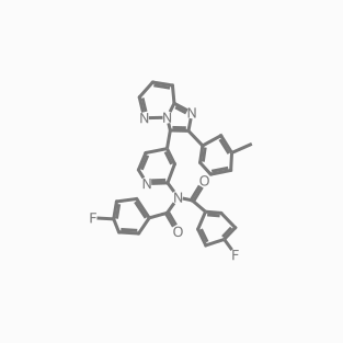 Cc1cccc(-c2nc3cccnn3c2-c2ccnc(N(C(=O)c3ccc(F)cc3)C(=O)c3ccc(F)cc3)c2)c1